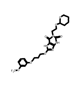 O=c1[nH]c2nc(OCCCOc3cccc(OC(F)(F)F)c3)[nH]c2c(=O)n1CCOC1CCCCO1